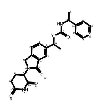 CC(NC(=O)OC(C)c1ccc2c(c1)C(=O)N(C1CCC(=O)NC1=O)C2)c1ccncc1